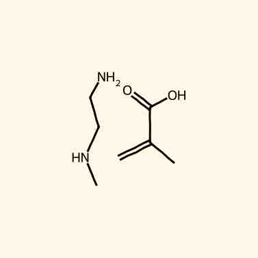 C=C(C)C(=O)O.CNCCN